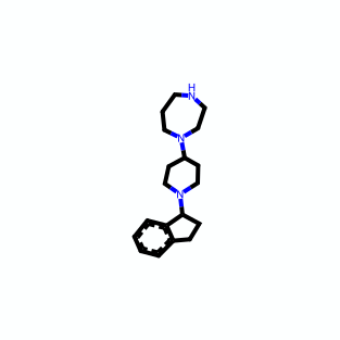 c1ccc2c(c1)CCC2N1CCC(N2CCCNCC2)CC1